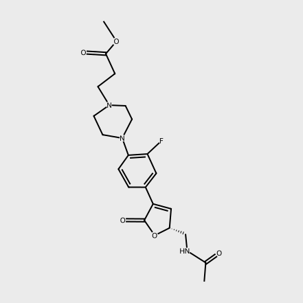 COC(=O)CCN1CCN(c2ccc(C3=C[C@H](CNC(C)=O)OC3=O)cc2F)CC1